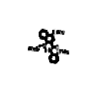 COc1ccccc1NC(=O)c1cc(OC)c2ccccc2c1OCSC